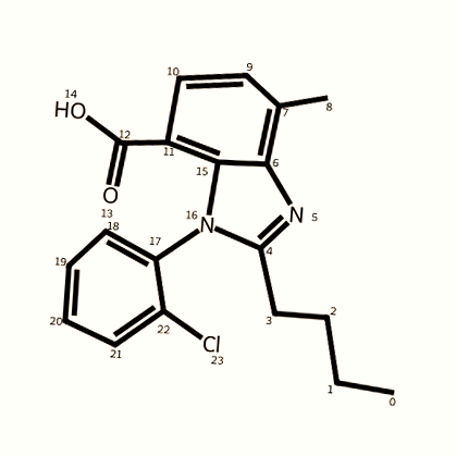 CCCCc1nc2c(C)ccc(C(=O)O)c2n1-c1ccccc1Cl